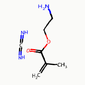 C=C(C)C(=O)OCCN.N=C=N